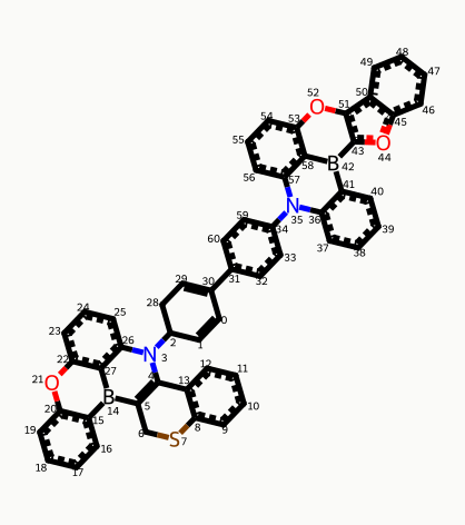 C1=CC(N2C3=C(CSc4ccccc43)B3c4ccccc4Oc4cccc2c43)CC=C1c1ccc(N2c3ccccc3B3c4oc5ccccc5c4Oc4cccc2c43)cc1